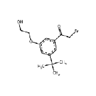 CC(C)(C)c1cc(OCCO)cc(C(=O)CBr)c1